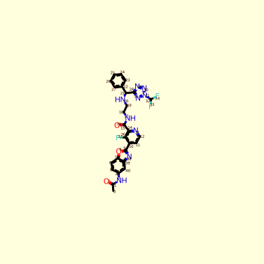 CC(=O)Nc1ccc2oc(-c3ccnc(C(=O)NCCNC(c4ccccc4)c4nnn(C(F)F)n4)c3F)nc2c1